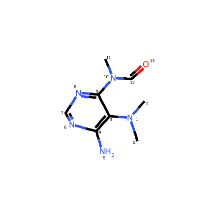 CN(C)c1c(N)ncnc1N(C)C=O